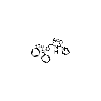 CC(=O)[C@H](CO[Si](c1ccccc1)(c1ccccc1)C(C)(C)C)NC(=O)n1cccc1